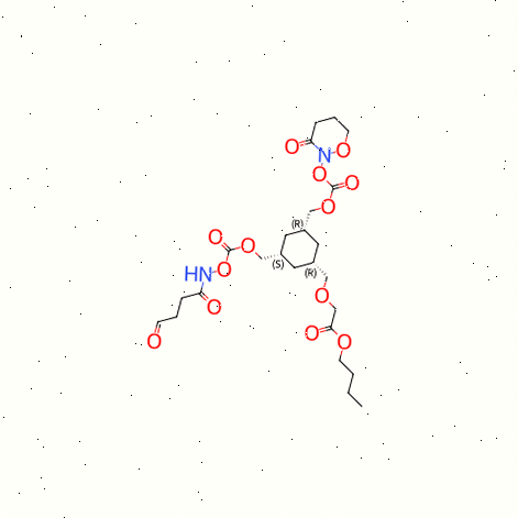 CCCCOC(=O)COC[C@@H]1C[C@H](COC(=O)ONC(=O)CCC=O)C[C@H](COC(=O)ON2OCCCC2=O)C1